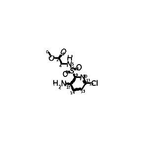 COC(=O)CNS(=O)(=O)c1nc(Cl)ccc1N